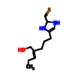 CCC=C(CO)CCCC1=CNC(C=S)N1